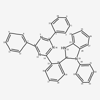 c1ccc(-c2nc(-c3ccccc3)nc(-c3ccccc3C3Nc4ccccc4N3c3ccccc3)n2)cc1